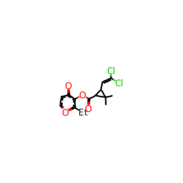 CCc1occc(=O)c1OC(=O)C1C(C=C(Cl)Cl)C1(C)C